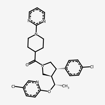 C[C@H](Oc1ccc(Cl)cn1)[C@H]1CN(C(=O)C2CCN(c3ncccn3)CC2)C[C@@H]1c1ccc(Cl)cc1